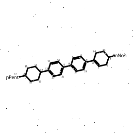 CCCCCCCCCC1CC=C(c2ccc(-c3ccc(C4CCC(CCCCC)CC4)cc3)cc2)CC1